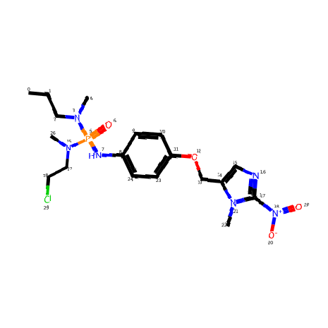 CCCN(C)P(=O)(Nc1ccc(OCc2cnc([N+](=O)[O-])n2C)cc1)N(C)CCCl